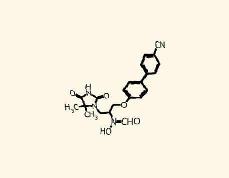 CC1(C)C(=O)NC(=O)N1CC(COc1ccc(-c2ccc(C#N)cc2)cc1)N(O)C=O